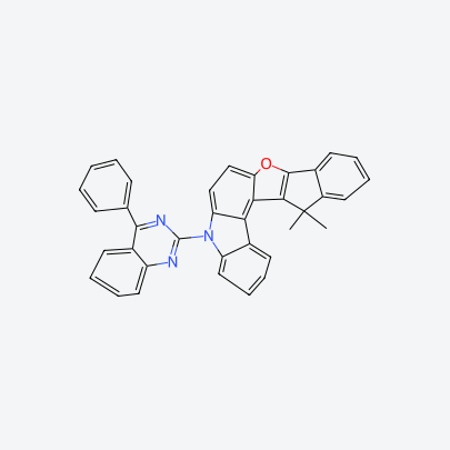 CC1(C)c2ccccc2-c2oc3ccc4c(c5ccccc5n4-c4nc(-c5ccccc5)c5ccccc5n4)c3c21